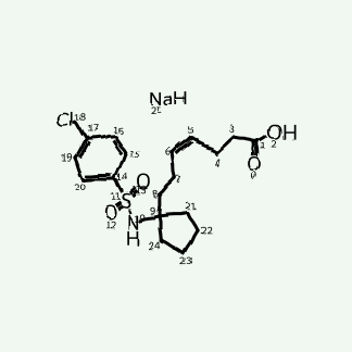 O=C(O)CC/C=C\CCC1(NS(=O)(=O)c2ccc(Cl)cc2)CCCC1.[NaH]